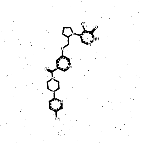 N#Cc1ccc(N2CCN(C(=O)c3cncc(OCC4CCCN4c4cn[nH]c(=O)c4C(F)(F)F)c3)CC2)nc1